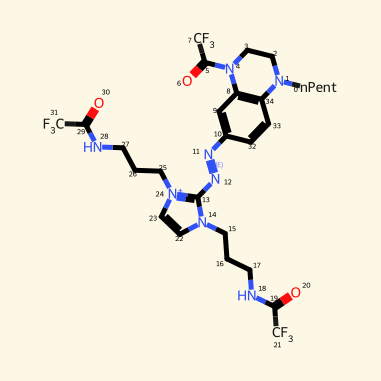 CCCCCN1CCN(C(=O)C(F)(F)F)c2cc(/N=N/c3n(CCCNC(=O)C(F)(F)F)cc[n+]3CCCNC(=O)C(F)(F)F)ccc21